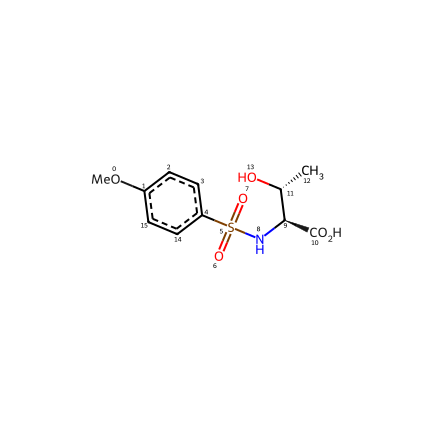 COc1ccc(S(=O)(=O)N[C@H](C(=O)O)[C@@H](C)O)cc1